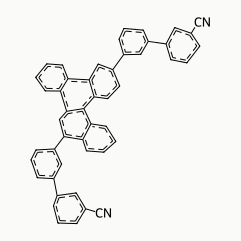 N#Cc1cccc(-c2cccc(-c3ccc4c(c3)c3ccccc3c3cc(-c5cccc(-c6cccc(C#N)c6)c5)c5ccccc5c43)c2)c1